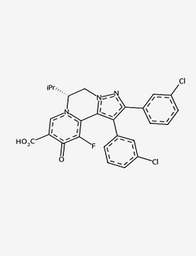 CC(C)[C@@H]1Cn2nc(-c3cccc(Cl)c3)c(-c3cccc(Cl)c3)c2-c2c(F)c(=O)c(C(=O)O)cn21